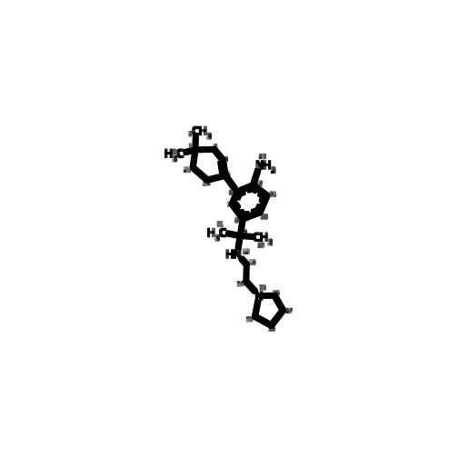 CC1(C)CC=C(c2cc(C(C)(C)NCCN3CCCC3)ccc2N)CC1